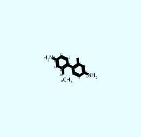 C.Cc1cc(N)ccc1-c1ccc(N)cc1C